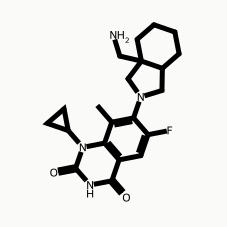 Cc1c(N2CC3CCCCC3(CN)C2)c(F)cc2c(=O)[nH]c(=O)n(C3CC3)c12